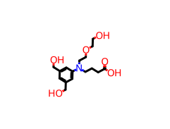 O=C(O)CCCN(CCOCCO)c1cc(CO)cc(CO)c1